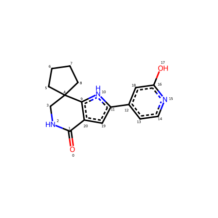 O=C1NCC2(CCCC2)c2[nH]c(-c3ccnc(O)c3)cc21